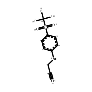 C#CCNc1ccc(S(=O)(=O)C(F)(F)F)cc1